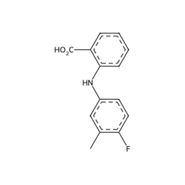 Cc1cc(Nc2ccccc2C(=O)O)ccc1F